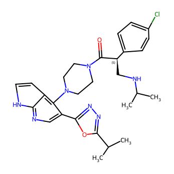 CC(C)NC[C@@H](C(=O)N1CCN(c2c(-c3nnc(C(C)C)o3)cnc3[nH]ccc23)CC1)c1ccc(Cl)cc1